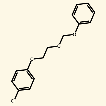 Clc1ccc(OCCOCOc2ccccc2)cc1